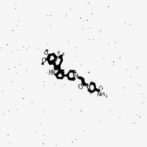 COc1ccc(-c2[nH]c3ccc(C4CCN(CC(=O)N5CCC(C(N)=O)CC5)CC4)cc3c2CC(F)(F)F)cc1OC